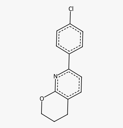 Clc1ccc(-c2ccc3c(n2)OCCC3)cc1